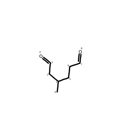 CC(CC=O)CCC=O